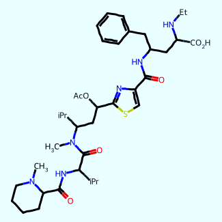 CCNC(CC(Cc1ccccc1)NC(=O)c1csc(C(CC(C(C)C)N(C)C(=O)C(NC(=O)C2CCCCN2C)C(C)C)OC(C)=O)n1)C(=O)O